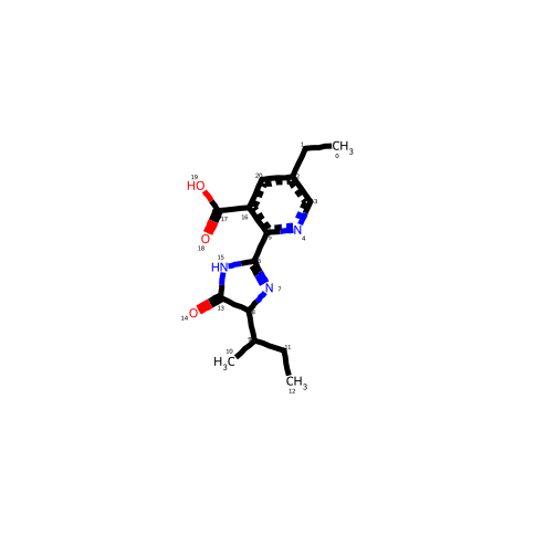 CCc1cnc(C2=NC(C(C)CC)C(=O)N2)c(C(=O)O)c1